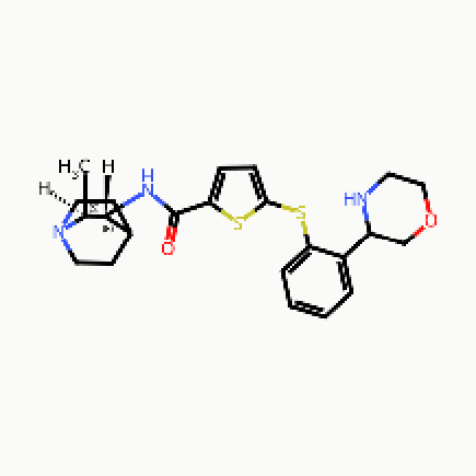 C[C@H]1[C@H](NC(=O)c2ccc(Sc3ccccc3C3COCCN3)s2)C2CCN1CC2